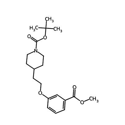 COC(=O)c1cccc(OCCC2CCN(C(=O)OC(C)(C)C)CC2)c1